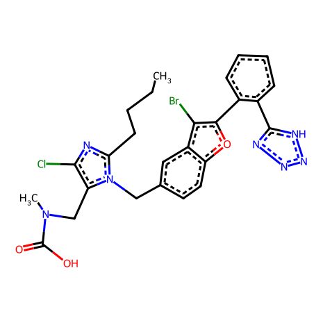 CCCCc1nc(Cl)c(CN(C)C(=O)O)n1Cc1ccc2oc(-c3ccccc3-c3nnn[nH]3)c(Br)c2c1